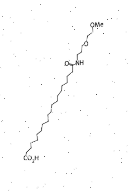 COCCOCCCNC(=O)CCCCCCCCCCCCCCCCCCC(=O)O